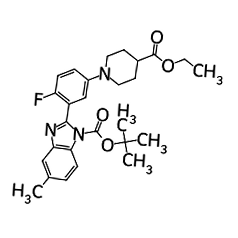 CCOC(=O)C1CCN(c2ccc(F)c(-c3nc4cc(C)ccc4n3C(=O)OC(C)(C)C)c2)CC1